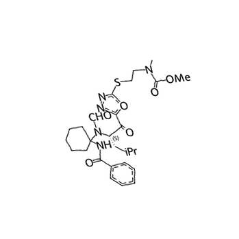 COC(=O)N(C)CCSc1nnc(C(=O)[C@H](CC(C)C)N(C=O)C2(NC(=O)c3ccccc3)CCCCC2)o1